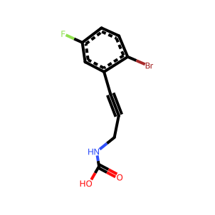 O=C(O)NCC#Cc1cc(F)ccc1Br